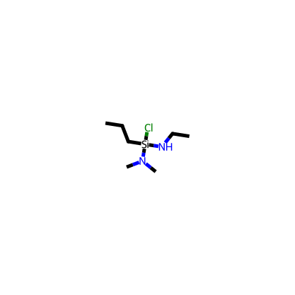 CCC[Si](Cl)(NCC)N(C)C